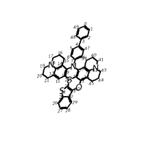 c1ccc(-c2ccc(N3c4c(cc5c6c4CCCN6CCC5)B4c5sc6ccccc6c5Oc5c6c7c(c3c54)CCCN7CCC6)cc2)cc1